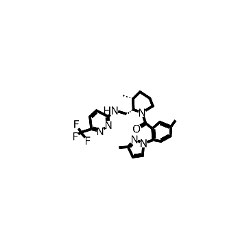 Cc1ccc(-n2ccc(C)n2)c(C(=O)N2CCC[C@@H](C)[C@H]2CNc2ccc(C(F)(F)F)nn2)c1